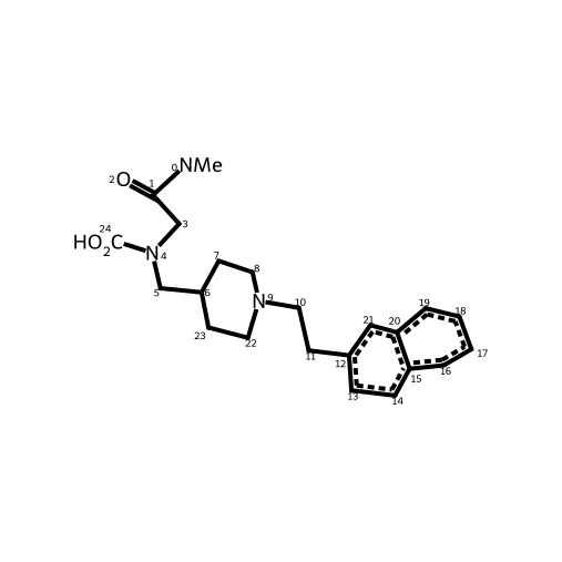 CNC(=O)CN(CC1CCN(CCc2ccc3ccccc3c2)CC1)C(=O)O